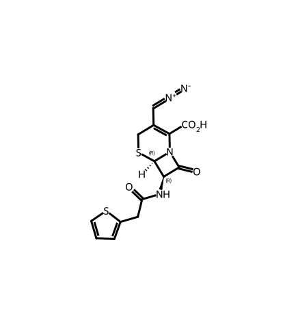 [N-]=[N+]=CC1=C(C(=O)O)N2C(=O)[C@@H](NC(=O)Cc3cccs3)[C@H]2SC1